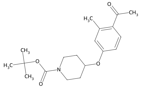 CC(=O)c1ccc(OC2CCN(C(=O)OC(C)(C)C)CC2)cc1C